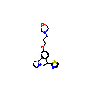 c1csc(C2CN3CCCC3c3cc(OCCCN4CCOCC4)ccc32)n1